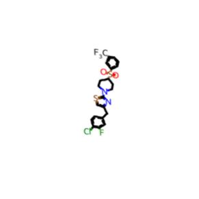 O=S(=O)(c1cccc(C(F)(F)F)c1)C1CCN(c2nc(Cc3ccc(Cl)c(F)c3)cs2)CC1